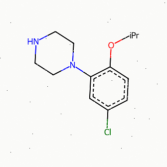 CC(C)Oc1ccc(Cl)cc1N1CCNCC1